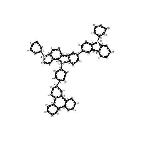 c1ccc(-n2ncc3c2ccc2c4cc(-c5ccc6c(c5)c5ccccc5n6-c5ccccc5)ccc4n(-c4ccc(-c5ccc6c7ccccc7c7ccccc7c6c5)cc4)c23)cc1